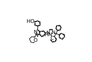 Oc1cccc(-c2nn(C3CCCCO3)c3ccc(N4C=CN(C(c5ccccc5)(c5ccccc5)c5ccccc5)N4)cc23)c1